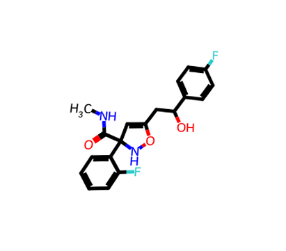 CNC(=O)C1(c2ccccc2F)C=C(CC(O)c2ccc(F)cc2)ON1